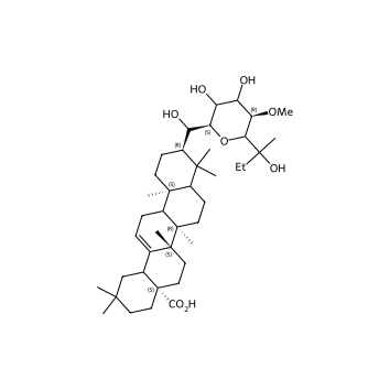 CCC(C)(O)C1O[C@@H](C(O)[C@@H]2CC[C@@]3(C)C(CC[C@]4(C)C3CC=C3C5CC(C)(C)CC[C@]5(C(=O)O)CC[C@]34C)C2(C)C)C(O)C(O)[C@H]1OC